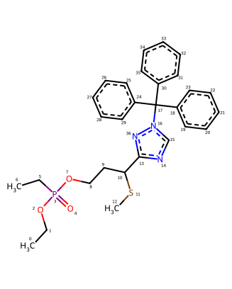 CCOP(=O)(CC)OCCC(SC)c1ncn(C(c2ccccc2)(c2ccccc2)c2ccccc2)n1